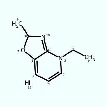 CCN1C=CC=C2OC(C)N=C21.I